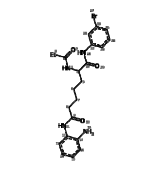 CCC(=O)NC(CCCCC(=O)Nc1ccccc1N)C(=O)Nc1cccc(Br)c1